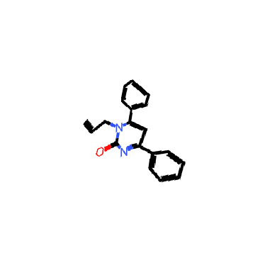 C=CCn1c(-c2ccccc2)cc(-c2ccccc2)nc1=O